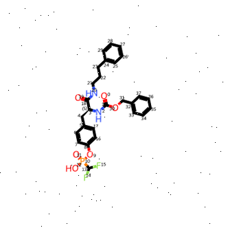 O=C(N[C@@H](Cc1ccc(OP(=O)(O)C(F)F)cc1)C(=O)NCCCc1ccccc1)OCc1ccccc1